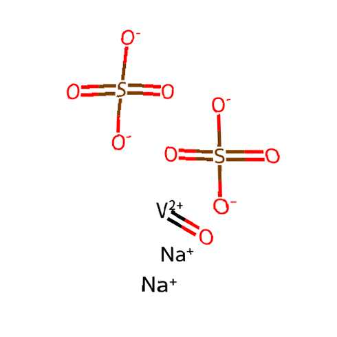 O=S(=O)([O-])[O-].O=S(=O)([O-])[O-].[Na+].[Na+].[O]=[V+2]